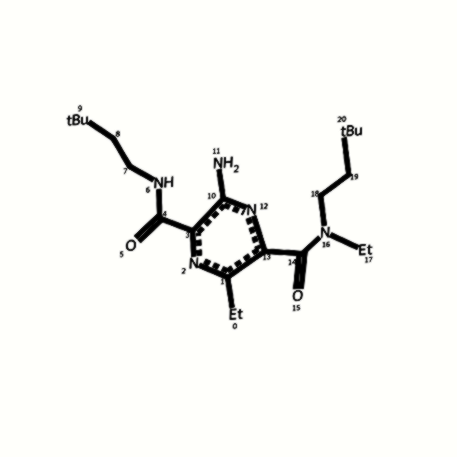 CCc1nc(C(=O)NCCC(C)(C)C)c(N)nc1C(=O)N(CC)CCC(C)(C)C